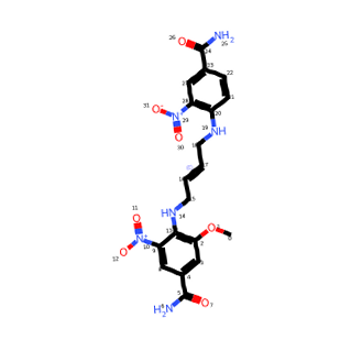 COc1cc(C(N)=O)cc([N+](=O)[O-])c1NC/C=C/CNc1ccc(C(N)=O)cc1[N+](=O)[O-]